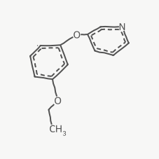 CCOc1cc[c]c(Oc2cccnc2)c1